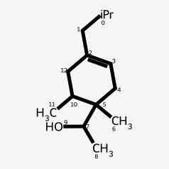 CC(C)CC1=CCC(C)(C(C)O)C(C)C1